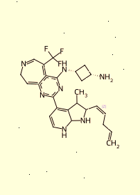 C=CC/C=C\C1NC2NC=CC(c3nc(N[C@H]4C[C@@H](N)C4)c4c(n3)=CCN=CC=4C(F)(F)F)=C2C1C